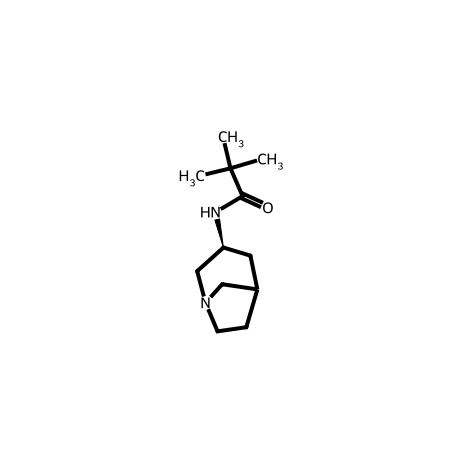 CC(C)(C)C(=O)N[C@H]1CC2CCN(C2)C1